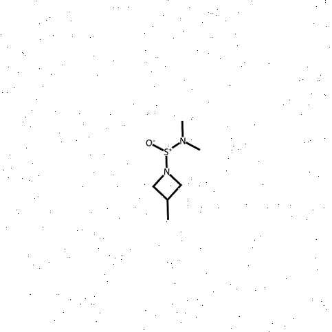 CC1CN([S+]([O-])N(C)C)C1